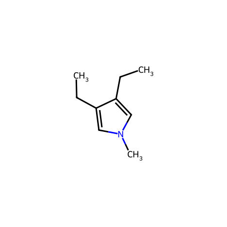 CCc1cn(C)cc1CC